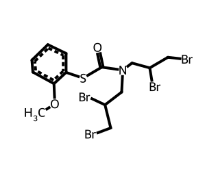 COc1ccccc1SC(=O)N(CC(Br)CBr)CC(Br)CBr